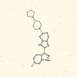 Fc1ccc2c(-c3nc4ccc(N5CCC(N6CCCC6)CC5)cc4[nH]3)n[nH]c2c1